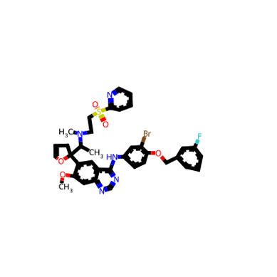 COc1cc2ncnc(Nc3ccc(OCc4cccc(F)c4)c(Br)c3)c2cc1C1(C(C)N(C)CCS(=O)(=O)c2ccccn2)CC=CO1